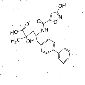 CC(O)(CC(Cc1ccc(-c2ccccc2)cc1)NC(=O)c1cc(O)no1)C(=O)O